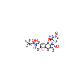 Cn1c(=O)n(C2CCC(=O)NC2=O)c2ccc(OC3CCN(C(O)OC(C)(C)C)CC3)cc21